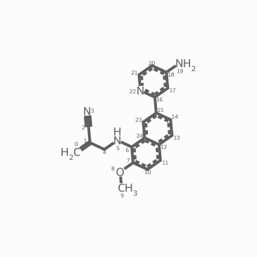 C=C(C#N)CNc1c(OC)ccc2ccc(-c3cc(N)ccn3)cc12